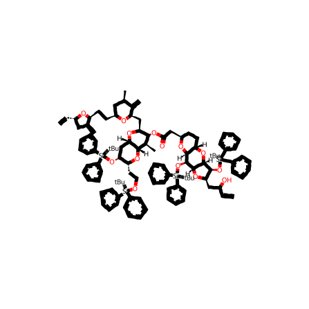 C=CC(O)C[C@H]1O[C@H]2[C@@H](O[Si](c3ccccc3)(c3ccccc3)C(C)(C)C)[C@H]3O[C@@H](CC(=O)O[C@@H]4[C@@H](C)[C@@H]5O[C@H](CCO[Si](c6ccccc6)(c6ccccc6)C(C)(C)C)[C@H](O[Si](c6ccccc6)(c6ccccc6)C(C)(C)C)C[C@@H]5O[C@H]4C[C@H]4O[C@@H](CC[C@@H]5O[C@@H](C=C)CC5=C)C[C@@H](C)C4=C)CC[C@@H]3O[C@H]2[C@H]1O[Si](c1ccccc1)(c1ccccc1)C(C)(C)C